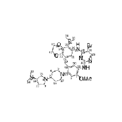 COc1cc(N2CCC(N3CC[C@@H](N(C)C)C3)CC2)c(C)cc1Nc1ncc(Br)c(Nc2ccc3c(c2P(C)C)OCCO3)n1